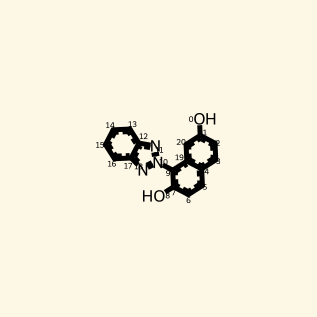 Oc1ccc2ccc(O)c(-n3nc4ccccc4n3)c2c1